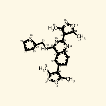 Cc1noc(C)c1-c1ccc2nc(-c3c(C)noc3C)nc(NCc3cccs3)c2c1